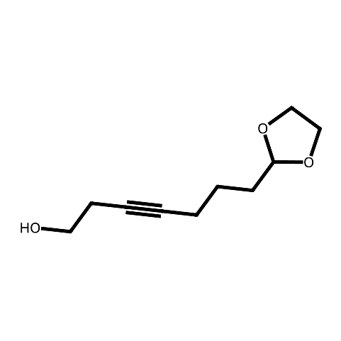 OCCC#CCCCC1OCCO1